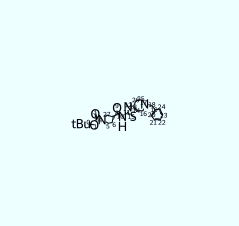 CC(C)(C)OC(=O)N1CCC(C(=O)Nc2nc3c(s2)CN(Cc2ccccc2)CC3)C1